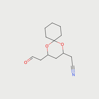 N#CCC1CC(CC=O)OC2(CCCCC2)O1